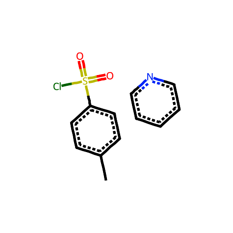 Cc1ccc(S(=O)(=O)Cl)cc1.c1ccncc1